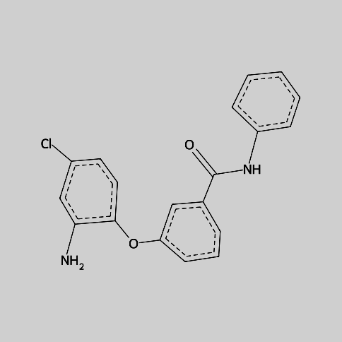 Nc1cc(Cl)ccc1Oc1cccc(C(=O)Nc2ccccc2)c1